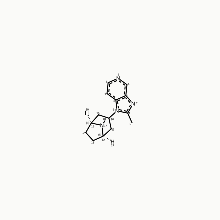 Cc1nc2cnccc2n1C1C[C@H]2CC[C@@H](C1)N2C